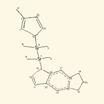 CC1=CC([Si](C)(C)[Si](C)(C)C2C=Cc3cc4c(cc32)CCC4)C=C1